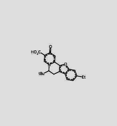 CCc1ccc2c3c(oc2c1)-c1cc(=O)c(C(=O)O)cn1C(C(C)(C)C)C3